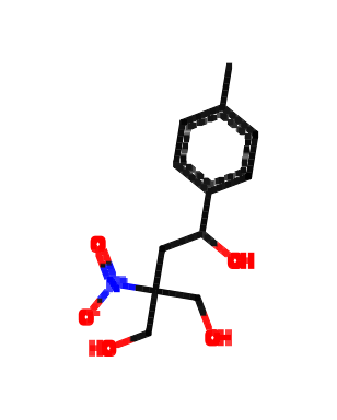 Cc1ccc(C(O)CC(CO)(CO)[N+](=O)[O-])cc1